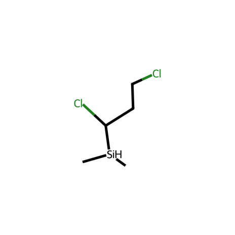 C[SiH](C)C(Cl)CCCl